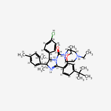 CCOc1cc(C(C)(C)C)ccc1C1=N[C@@](C)(c2ccc(C)cc2)[C@@](C)(c2ccc(Cl)cc2)N1C(=O)N1CCN(CC)CC1